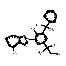 CC(C)(C)CC(C)(C)c1cc(-n2nc3cccc(C(F)(F)F)c3n2)c(O)c(C(C)(C)c2ccccc2)c1